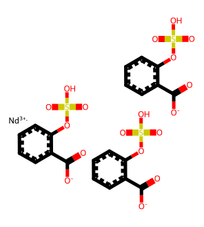 O=C([O-])c1ccccc1OS(=O)(=O)O.O=C([O-])c1ccccc1OS(=O)(=O)O.O=C([O-])c1ccccc1OS(=O)(=O)O.[Nd+3]